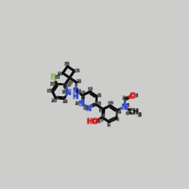 CN(C=O)c1ccc(O)c(-c2ccc(NCC3(c4ncccc4F)CCC3)nn2)c1